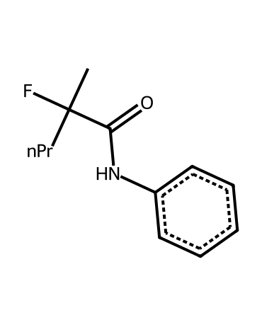 CCCC(C)(F)C(=O)Nc1ccccc1